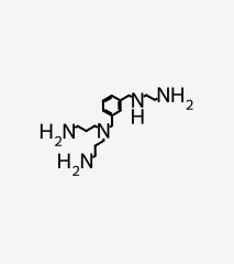 NCCCN(CCCN)Cc1cccc(CNCCN)c1